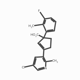 Cc1ncc(Cl)cc1C1=CC(C(=O)O)(c2cccc(F)c2C)CC1